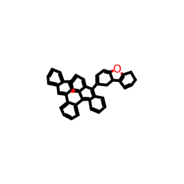 C1=CC2=C(CC1)OC1=CC=C(c3c4ccccc4c(-c4ccccc4-c4ccc5ccccc5c4)c4ccccc34)CC12